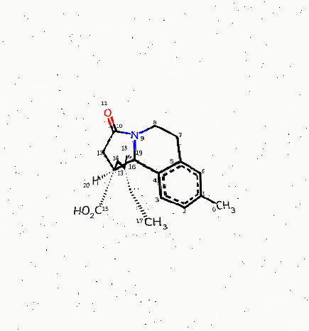 Cc1ccc2c(c1)CCN1C(=O)C[C@H]3[C@H](C(=O)O)[C@@H](C)C[C@]231